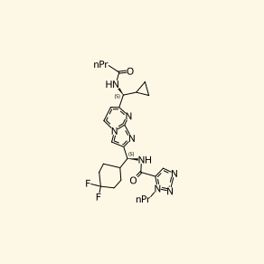 CCCC(=O)N[C@H](c1ccn2cc([C@@H](NC(=O)c3cnnn3CCC)C3CCC(F)(F)CC3)nc2n1)C1CC1